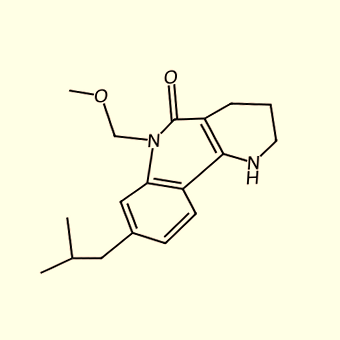 COCn1c(=O)c2c(c3ccc(CC(C)C)cc31)NCCC2